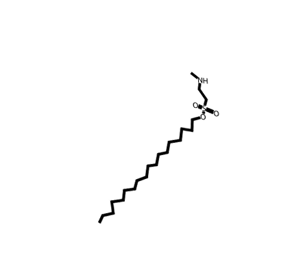 CCCCCCCCCCCCCCCCCCOS(=O)(=O)CCNC